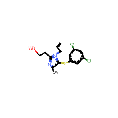 C=CCn1c(CCO)nc(C(C)C)c1Sc1cc(Cl)cc(Cl)c1